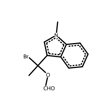 Cn1cc(C(C)(Br)OC=O)c2ccccc21